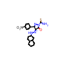 NC(=S)N1N=C(c2ccc([N+](=O)[O-])cc2)/C(=N\Nc2ccc3ccccc3c2)C1=O